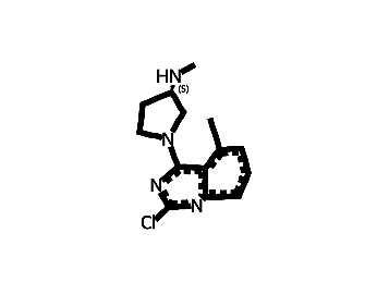 CN[C@H]1CCN(c2nc(Cl)nc3cccc(C)c23)C1